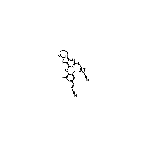 Cc1cc(/C=C/C#N)cc(C)c1Oc1nc(NC23CC(C#N)(C2)C3)nc2c1nc1n2CCCO1